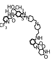 CC(C)(O)c1cc2nc(N3CCC(CN4CCC(CCNc5cccc6c5C(=O)N(C5CCC(=O)NC5=O)C6)CC4)CC3)sc2cc1NC(=O)c1cccc(C(F)(F)F)n1